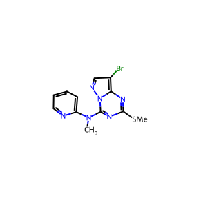 CSc1nc(N(C)c2ccccn2)n2ncc(Br)c2n1